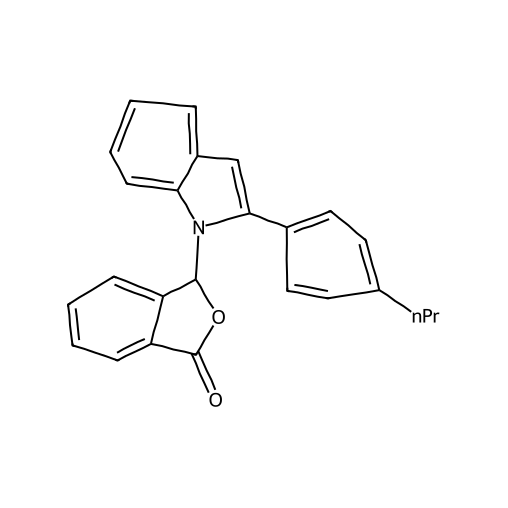 CCCc1ccc(-c2cc3ccccc3n2C2OC(=O)c3ccccc32)cc1